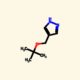 CC(C)(C)OCc1cn[nH]c1